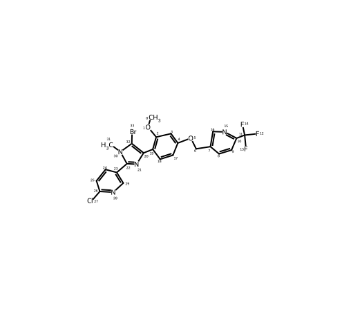 COc1cc(OCc2ccc(C(F)(F)F)nc2)ccc1-c1nc(-c2ccc(Cl)nc2)n(C)c1Br